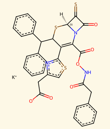 O=C([O-])Cc1csc(C2=C(C(=O)ONC(=O)Cc3ccccc3)N3C(=O)C(=S)[C@@H]3SC2C(c2ccccc2)c2ccccc2)n1.[K+]